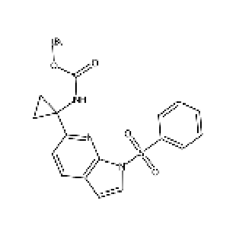 CC(C)(C)OC(=O)NC1(c2ccc3ccn(S(=O)(=O)c4ccccc4)c3n2)CC1